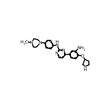 CN1CCN(c2ccc(Nc3nccc(-c4ccc(OC5CCNC5)c(N)c4)n3)cc2)CC1